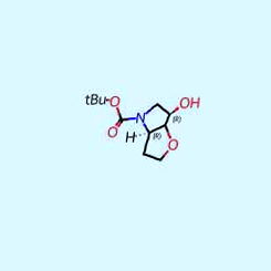 CC(C)(C)OC(=O)N1C[C@@H](O)C2OCC[C@H]21